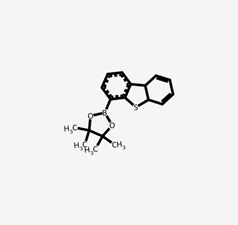 CC1(C)OB(c2cccc3c2SC2C=CC=CC32)OC1(C)C